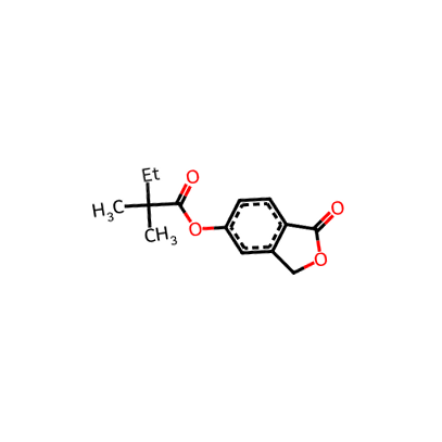 CCC(C)(C)C(=O)Oc1ccc2c(c1)COC2=O